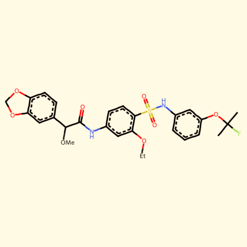 CCOc1cc(NC(=O)C(OC)c2ccc3c(c2)OCO3)ccc1S(=O)(=O)Nc1cccc(OC(C)(C)F)c1